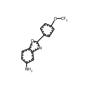 Nc1ccc2oc(-c3ccc(OC(F)(F)F)cc3)nc2c1